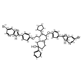 OC1(c2ccccc2)CCN(CC(Oc2ccc(-c3nc4cc(Br)cnc4[nH]3)cc2)N(CCOc2ccc(-c3nc4cc(Br)cnc4[nH]3)cc2)C2CCCC2)CC1